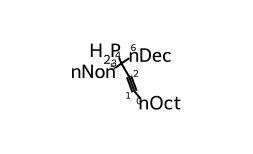 CCCCCCCCC#CC(P)(CCCCCCCCC)CCCCCCCCCC